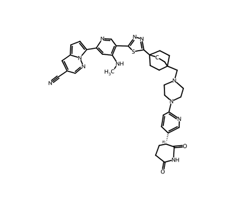 CNc1cc(-c2ccc3cc(C#N)cnn23)ncc1-c1nnc(C23CCC(CN4CCN(c5ccc([C@H]6CCC(=O)NC6=O)cn5)CC4)(CC2)CC3)s1